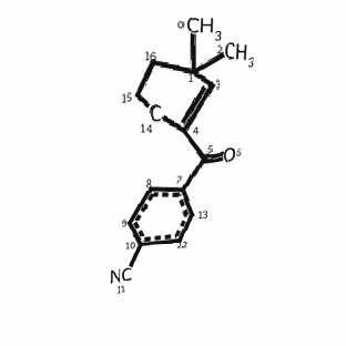 CC1(C)C=C(C(=O)c2ccc(C#N)cc2)CCC1